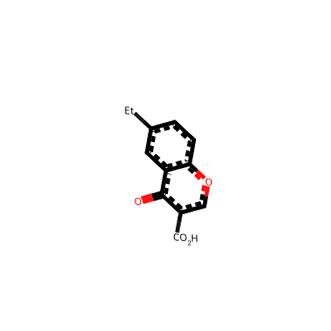 CCc1ccc2occ(C(=O)O)c(=O)c2c1